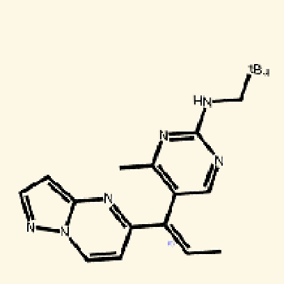 C/C=C(/c1ccn2nccc2n1)c1cnc(NCC(C)(C)C)nc1C